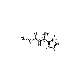 CC(C)[C@H](NC(=O)OC(C)(C)C)c1nccn1C